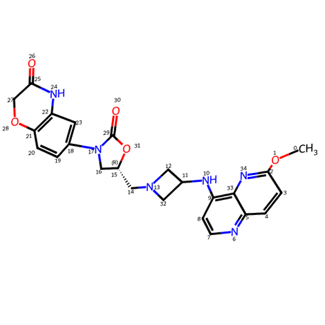 COc1ccc2nccc(NC3CN(C[C@@H]4CN(c5ccc6c(c5)NC(=O)CO6)C(=O)O4)C3)c2n1